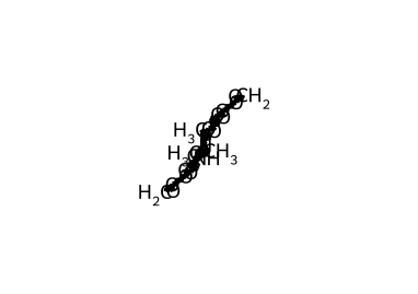 C=CC(=O)OCCCCOC(=O)Oc1ccc(C(=O)Nc2cc(C)c(/N=C/c3ccc(OC(=O)c4ccc(OC(=O)OCCCCOC(=O)C=C)cc4)c(C)c3)cc2C)cc1